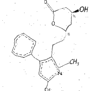 Cc1cc(-c2ccccc2)c(CC[C@H]2C[C@H](O)CC(=O)O2)c(C)n1